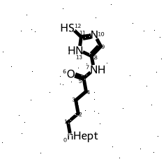 CCCCCCCCCCCC(=O)Nc1cnc(S)[nH]1